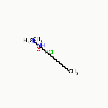 CCCCCCCCCCCCCCCCCCCCCC(=O)NCCCN(C)C.Cl